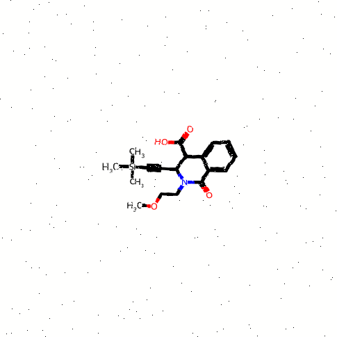 COCCN1C(=O)c2ccccc2C(C(=O)O)C1C#C[Si](C)(C)C